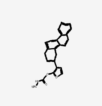 CC(C)(C)NC(=O)Oc1occc1C1CCc2ccc3c(ccc4ccccc43)c2C1